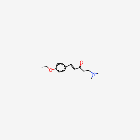 CCOc1ccc(/C=C/C(=O)CCN(C)C)cc1